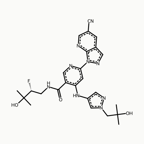 CC(C)(O)Cn1cc(Nc2cc(-n3ncc4cc(C#N)cnc43)ncc2C(=O)NC[C@@H](F)C(C)(C)O)cn1